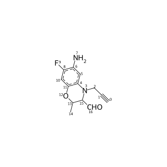 C#CCN1c2cc(N)c(F)cc2OC(C)C1C=O